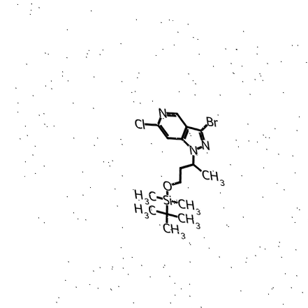 CC(CCO[Si](C)(C)C(C)(C)C)n1nc(Br)c2cnc(Cl)cc21